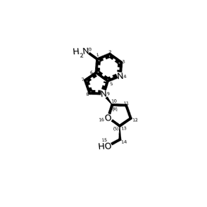 Nc1ccnc2c1ccn2[C@H]1CC[C@@H](CO)O1